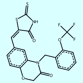 O=C1NC(=S)SC1=Cc1ccc2c(c1)N(Cc1ccccc1OC(F)(F)F)C(=O)CO2